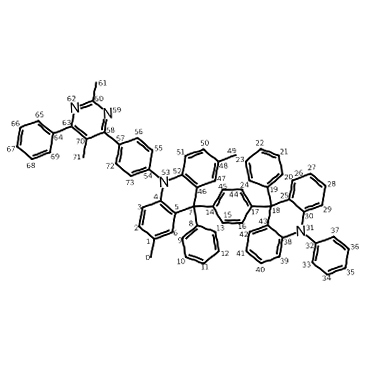 Cc1ccc2c(c1)C(c1ccccc1)(c1ccc(C3(c4ccccc4)c4ccccc4N(c4ccccc4)c4ccccc43)cc1)c1cc(C)ccc1N2c1ccc(-c2nc(C)nc(-c3ccccc3)c2C)cc1